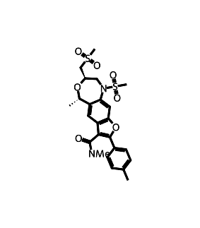 CNC(=O)c1c(-c2ccc(C)cc2)oc2cc3c(cc12)[C@H](C)O[C@@H](CS(C)(=O)=O)CN3S(C)(=O)=O